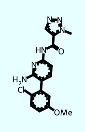 COc1ccc(Cl)c(-c2ccc(NC(=O)c3cnnn3C)nc2N)c1